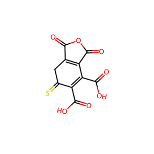 O=C(O)C1=C(C(=O)O)C2=C(CC1=S)C(=O)OC2=O